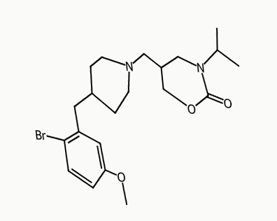 COc1ccc(Br)c(CC2CCN(CC3COC(=O)N(C(C)C)C3)CC2)c1